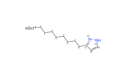 CCCCCCCCCCCCCCCCc1cc[nH]n1